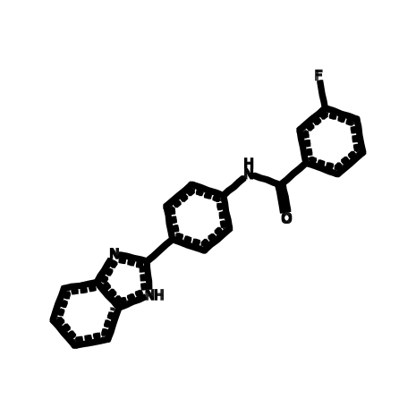 O=C(Nc1ccc(-c2nc3ccccc3[nH]2)cc1)c1cccc(F)c1